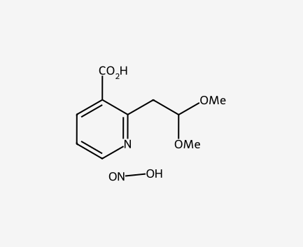 COC(Cc1ncccc1C(=O)O)OC.O=NO